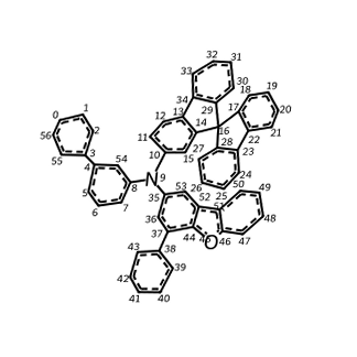 c1ccc(-c2cccc(N(c3ccc4c(c3)C3(c5ccccc5-c5ccccc53)c3ccccc3-4)c3cc(-c4ccccc4)c4oc5ccccc5c4c3)c2)cc1